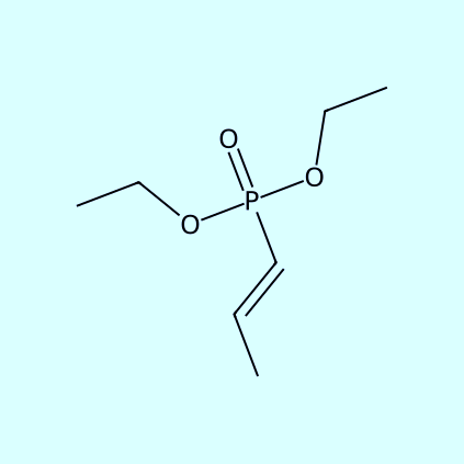 CC=CP(=O)(OCC)OCC